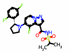 CC(C)S(=O)(=O)NC(=O)c1cnn2ccc(N3CCC[C@@H]3c3cc(F)ccc3F)c(F)c12